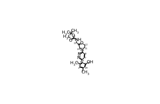 Cc1cc(C)c(-c2ccc(N3CCO[C@H](CNC(=O)OC(C)(C)C)C3)nn2)c(O)c1